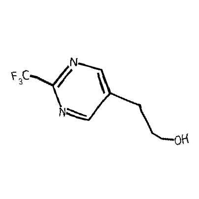 OCCc1cnc(C(F)(F)F)nc1